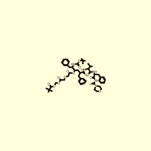 CC(C)C(NC(=O)C(Cc1ccccc1)CC(OC(=O)COCC(=O)OCOC(=O)C(C)(C)C)C(Cc1ccccc1)NC(=O)OC(C)(C)C)C(=O)NC(Cc1ccccc1)C(=O)NC(=O)N1CCOCC1